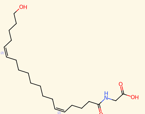 O=C(O)CNC(=O)CCC/C=C\CCCCCCC/C=C\CCCCO